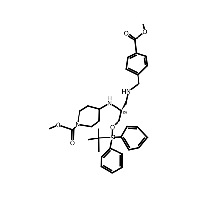 COC(=O)c1ccc(CNC[C@@H](CO[Si](c2ccccc2)(c2ccccc2)C(C)(C)C)NC2CCN(C(=O)OC)CC2)cc1